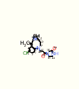 C=C1c2cc(Cl)ccc2N(CCC(=O)N2CCNC(=O)C2)CCC2CCC1N2C